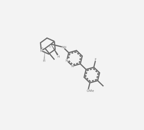 COc1cc(-c2ccc(N[C@H]3C4CCN(CC4)[C@@H]3C)nn2)c(F)cc1C